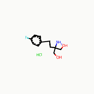 Cl.NC(CO)(CO)CCc1ccc(F)cc1